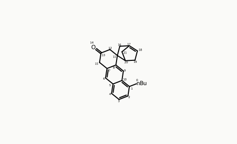 CCCCc1cccc2cc3c(cc12)C1(CC(=O)C3)CC2=CCC1C2